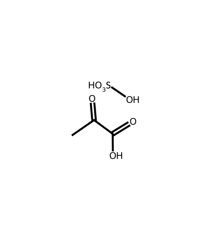 CC(=O)C(=O)O.O=S(=O)(O)O